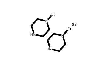 CCN1CCNCC1.CCN1CCNCC1.[Sn]